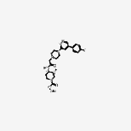 CC(C)(C)OC(=O)N1CC[C@@H](NC(=O)CN2CCN(c3cc(-c4ccc(F)cc4)cnn3)CC2)[C@H](F)C1